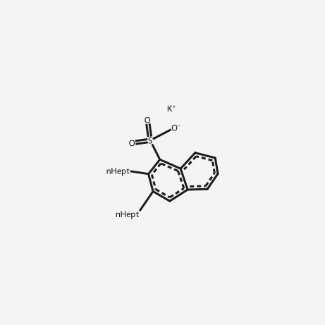 CCCCCCCc1cc2ccccc2c(S(=O)(=O)[O-])c1CCCCCCC.[K+]